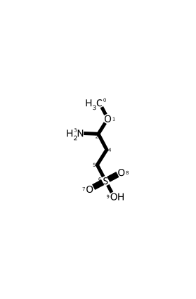 COC(N)CCS(=O)(=O)O